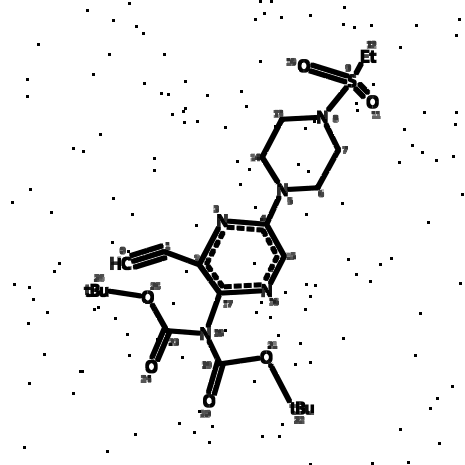 C#Cc1nc(N2CCN(S(=O)(=O)CC)CC2)cnc1N(C(=O)OC(C)(C)C)C(=O)OC(C)(C)C